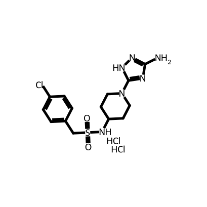 Cl.Cl.Nc1n[nH]c(N2CCC(NS(=O)(=O)Cc3ccc(Cl)cc3)CC2)n1